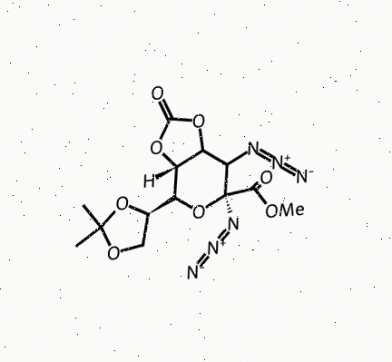 COC(=O)[C@@]1(N=[N+]=[N-])OC([C@H]2COC(C)(C)O2)[C@@H]2OC(=O)OC2C1N=[N+]=[N-]